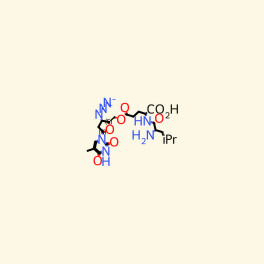 Cc1cn([C@H]2CC(N=[N+]=[N-])[C@@H](COC(=O)CCC(NC(=O)C(N)CC(C)C)C(=O)O)O2)c(=O)[nH]c1=O